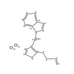 C=CCCC1=[C]([Zr+2][CH]2C=Cc3ccccc32)C=CC1.[Cl-].[Cl-]